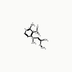 C=N/C(C)=C\N(C)c1ccnc(N)c1[N+](=O)[O-]